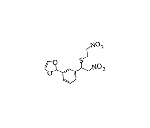 O=[N+]([O-])CCSC(C[N+](=O)[O-])c1cccc(C2OC=CO2)c1